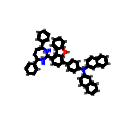 C1=CC(C2CC=C(c3ccccc3)NC(c3ccc(-c4ccc(N(c5ccc6ccccc6c5)c5ccc6ccccc6c5)cc4)c4oc5ccccc5c34)N2)=CCC1